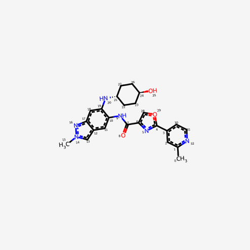 Cc1cc(-c2nc(C(=O)Nc3cc4cn(C)nc4cc3N[C@H]3CC[C@H](O)CC3)co2)ccn1